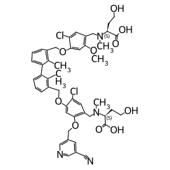 COc1cc(OCc2cccc(-c3cccc(COc4cc(OCc5cncc(C#N)c5)c(CN(C)[C@@H](CCO)C(=O)O)cc4Cl)c3C)c2C)c(Cl)cc1CN(C)[C@@H](CCO)C(=O)O